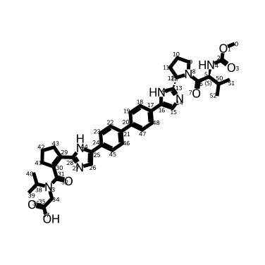 COC(=O)N[C@H](C(=O)N1CCC[C@H]1c1ncc(-c2ccc(-c3ccc(-c4cnc(C5=C(C(=O)N(CC(=O)O)C(C)C)CCC5)[nH]4)cc3)cc2)[nH]1)C(C)C